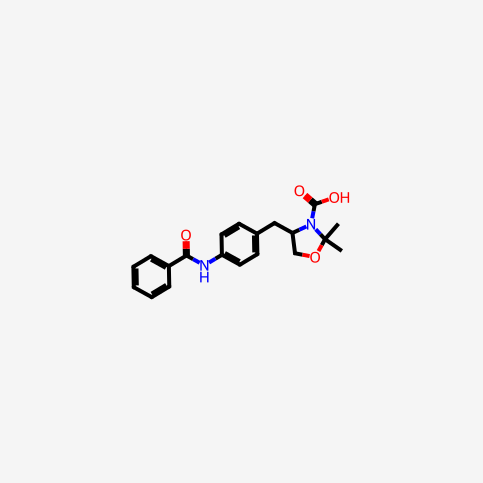 CC1(C)OCC(Cc2ccc(NC(=O)c3ccccc3)cc2)N1C(=O)O